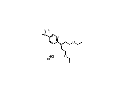 CCOCCN(CCOCC)c1ccc(NN)nn1.Cl.Cl